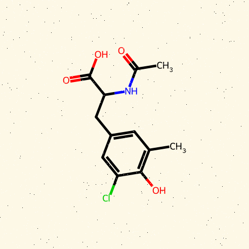 CC(=O)NC(Cc1cc(C)c(O)c(Cl)c1)C(=O)O